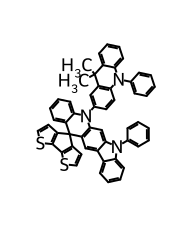 CC1(C)c2ccccc2N(c2ccccc2)c2ccc(N3c4ccccc4C4(c5cc6c7ccccc7n(-c7ccccc7)c6cc53)c3ccsc3-c3sccc34)cc21